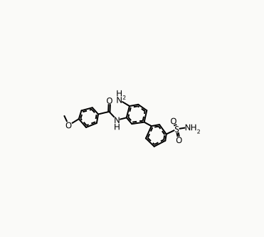 COc1ccc(C(=O)Nc2cc(-c3cccc(S(N)(=O)=O)c3)ccc2N)cc1